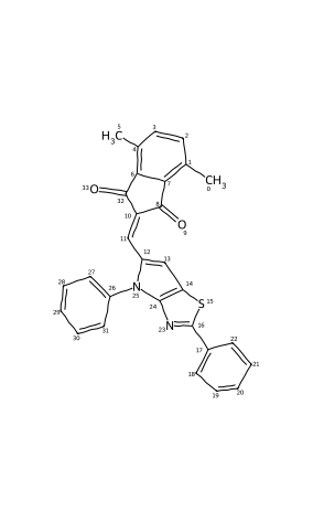 Cc1ccc(C)c2c1C(=O)C(=Cc1cc3sc(-c4ccccc4)nc3n1-c1ccccc1)C2=O